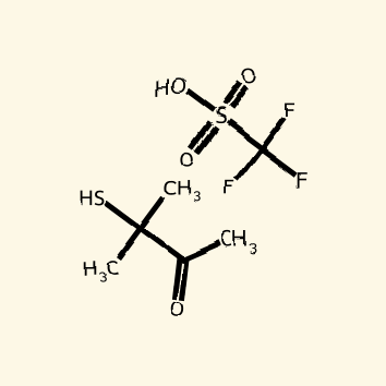 CC(=O)C(C)(C)S.O=S(=O)(O)C(F)(F)F